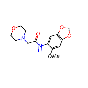 COc1cc2c(cc1NC(=O)CN1CCOCC1)OCO2